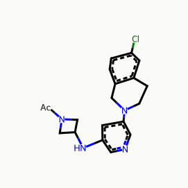 CC(=O)N1CC(Nc2cncc(N3CCc4cc(Cl)ccc4C3)c2)C1